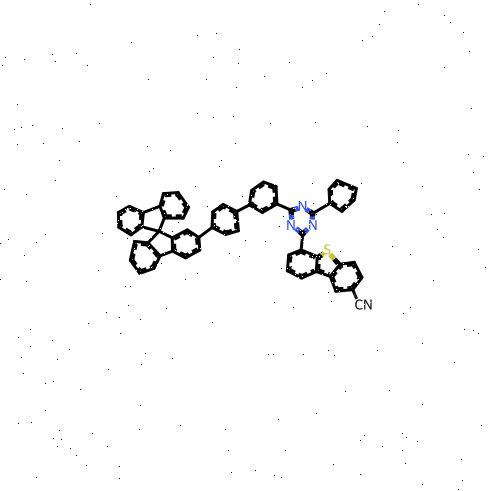 N#Cc1ccc2sc3c(-c4nc(-c5ccccc5)nc(-c5cccc(-c6ccc(-c7ccc8c(c7)C7(c9ccccc9-c9ccccc97)c7ccccc7-8)cc6)c5)n4)cccc3c2c1